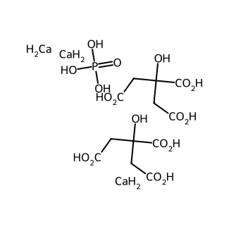 O=C(O)CC(O)(CC(=O)O)C(=O)O.O=C(O)CC(O)(CC(=O)O)C(=O)O.O=P(O)(O)O.[CaH2].[CaH2].[CaH2]